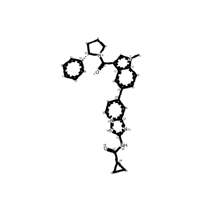 Cn1cc(C(=O)N2CCC[C@H]2c2ccccc2)c2cc(-c3ccn4nc(NC(=O)C5CC5)nc4c3)ccc21